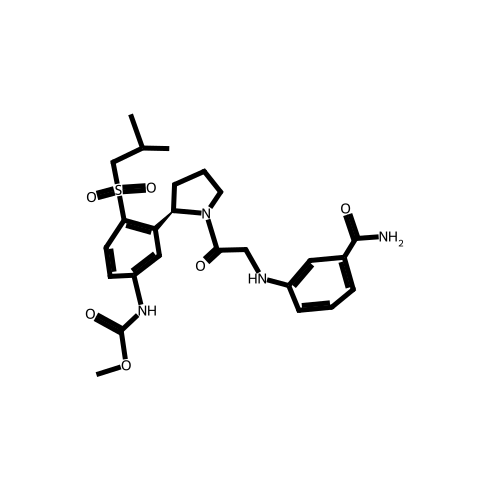 COC(=O)Nc1ccc(S(=O)(=O)CC(C)C)c([C@H]2CCCN2C(=O)CNc2cccc(C(N)=O)c2)c1